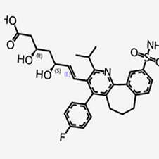 CC(C)c1nc2c(c(-c3ccc(F)cc3)c1/C=C/[C@@H](O)C[C@@H](O)CC(=O)O)CCCc1ccc(S(N)(=O)=O)cc1-2